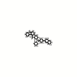 CC1(C)c2cc(N(c3ccccc3)c3ccc(-c4ccc5ccccc5c4)cc3)ccc2-c2ccc3sc4ccccc4c3c21